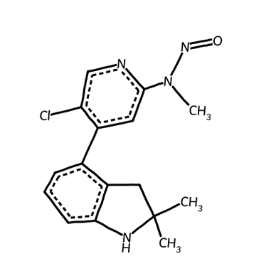 CN(N=O)c1cc(-c2cccc3c2CC(C)(C)N3)c(Cl)cn1